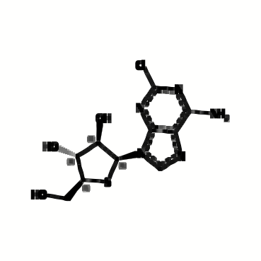 Nc1nc(Cl)nc2c1ncn2[C@H]1S[C@@H](CO)[C@H](O)[C@H]1O